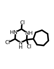 ClC1NC(Cl)NC(Cl)(C2CCCCCC2)N1